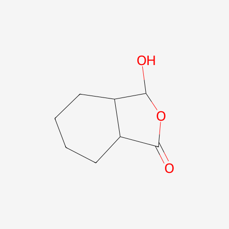 O=C1OC(O)C2CCCCC12